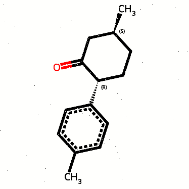 Cc1ccc([C@H]2CC[C@H](C)CC2=O)cc1